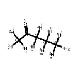 [2H]C([2H])([2H])C(=O)C([2H])([2H])C([2H])([2H])C([2H])([2H])[2H]